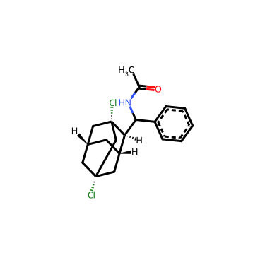 CC(=O)NC(c1ccccc1)[C@H]1[C@H]2C[C@@H]3C[C@](Cl)(C2)C[C@@]1(Cl)C3